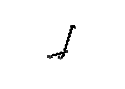 CCCCCCCCCCCCCNC(CC)CCCCCC